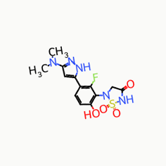 CN(C)c1cc(-c2ccc(O)c(N3CC(=O)NS3(=O)=O)c2F)[nH]n1